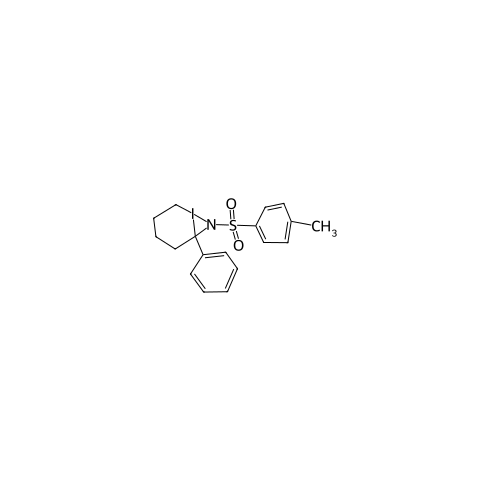 Cc1ccc(S(=O)(=O)N2I3CCCCC23c2ccccc2)cc1